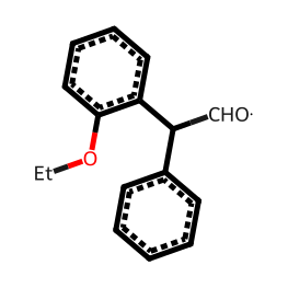 CCOc1ccccc1C([C]=O)c1ccccc1